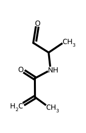 C=C(C)C(=O)NC(C)C=O